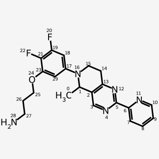 CC1c2cnc(-c3ccccn3)nc2CCN1c1cc(F)c(F)c(OCCCN)c1